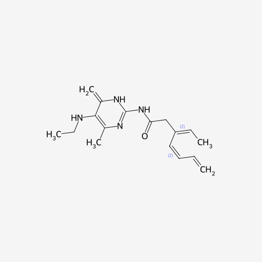 C=C/C=C\C(=C/C)CC(=O)NC1=NC(C)=C(NCC)C(=C)N1